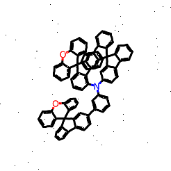 c1cc(-c2ccc3c(c2)C2(c4ccccc4Oc4ccccc42)c2ccccc2-3)cc(N(c2ccc3c(c2)C2(c4ccccc4-c4ccccc42)c2ccccc2-3)c2cccc3c2-c2ccccc2C32c3ccccc3Oc3ccccc32)c1